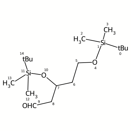 CC(C)(C)[Si](C)(C)OCCC(CC=O)O[Si](C)(C)C(C)(C)C